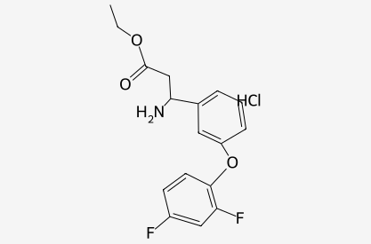 CCOC(=O)CC(N)c1cccc(Oc2ccc(F)cc2F)c1.Cl